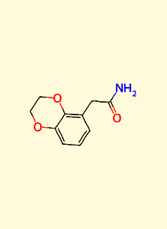 NC(=O)Cc1cccc2c1OCCO2